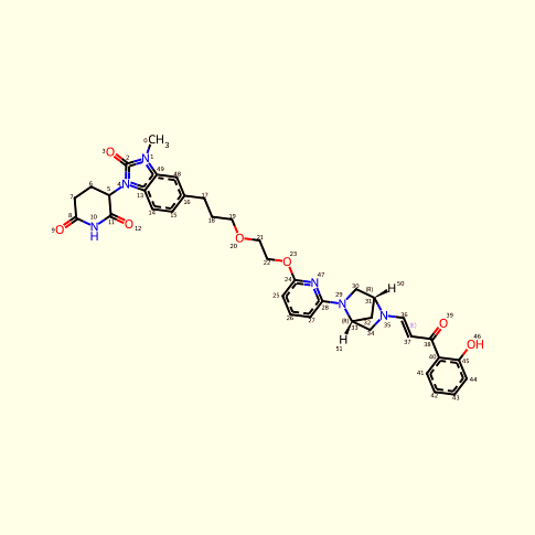 Cn1c(=O)n(C2CCC(=O)NC2=O)c2ccc(CCCOCCOc3cccc(N4C[C@H]5C[C@@H]4CN5/C=C/C(=O)c4ccccc4O)n3)cc21